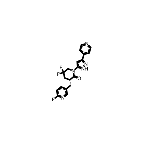 O=C1[C@H](Cc2ccc(F)nc2)CC(F)(F)CN1c1cc(-c2ccncc2)n[nH]1